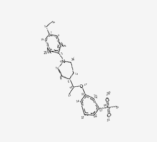 CCc1cnc(N2CCC(C(C)Oc3cc[c]c(S(C)(=O)=O)c3)CC2)nc1